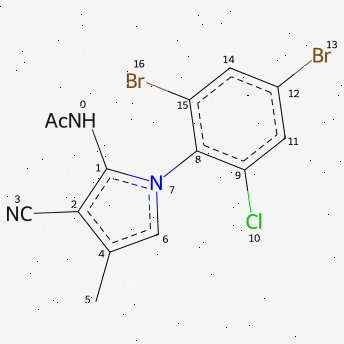 CC(=O)Nc1c(C#N)c(C)cn1-c1c(Cl)cc(Br)cc1Br